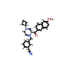 COc1ccc2cc(C(=O)C3CN(C4CCC4)CCN3Cc3cccc(C#N)c3)ccc2c1